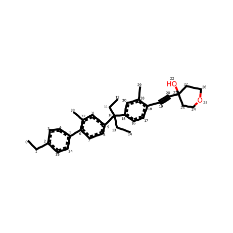 CCc1ccc(-c2ccc(C(CC)(CC)c3ccc(C#CC4(O)CCOCC4)c(C)c3)cc2C)cc1